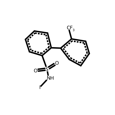 O=S(=O)(NI)c1ccccc1-c1ccccc1C(F)(F)F